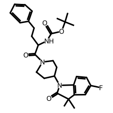 CC(C)(C)OC(=O)NC(CCc1ccccc1)C(=O)N1CCC(N2C(=O)C(C)(C)c3cc(F)ccc32)CC1